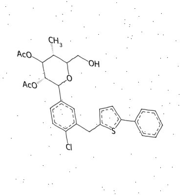 CC(=O)OC1[C@H](C)C(CO)OC(c2ccc(Cl)c(Cc3ccc(-c4ccccc4)s3)c2)[C@@H]1OC(C)=O